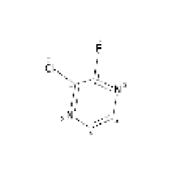 Fc1nc[c]nc1Cl